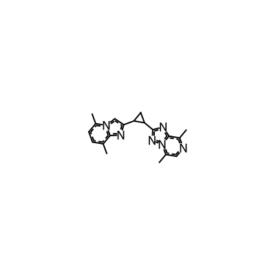 Cc1ccc(C)n2cc(C3CC3c3nc4c(C)ncc(C)n4n3)nc12